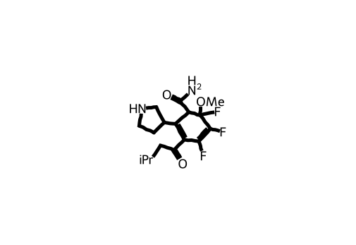 COC1(F)C(F)=C(F)C(C(=O)CC(C)C)=C(C2CCNC2)C1C(N)=O